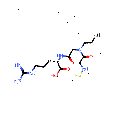 CCCN(CC(=O)N[C@@H](CCCNC(=N)N)C(=O)O)C(=O)CNS